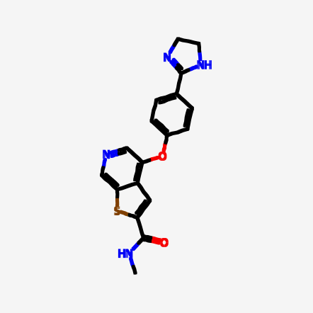 CNC(=O)c1cc2c(Oc3ccc(C4=NCCN4)cc3)cncc2s1